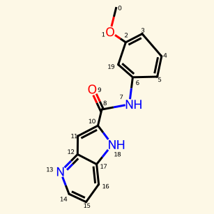 COc1cccc(NC(=O)c2cc3ncccc3[nH]2)c1